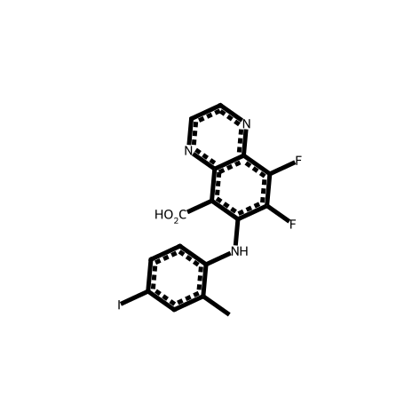 Cc1cc(I)ccc1Nc1c(F)c(F)c2nccnc2c1C(=O)O